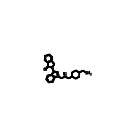 NCC1CCC(CNCn2cc(N3Cc4ccccc4C3=O)c3ccccc32)CC1